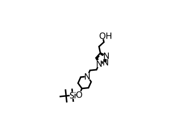 CC(C)(C)[Si](C)(C)OC1CCN(CCn2cc(CCO)nn2)CC1